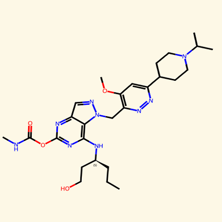 CCC[C@@H](CCO)Nc1nc(OC(=O)NC)nc2cnn(Cc3nnc(C4CCN(C(C)C)CC4)cc3OC)c12